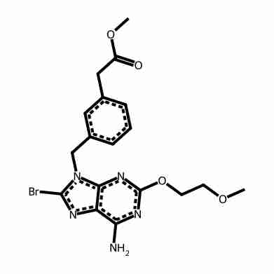 COCCOc1nc(N)c2nc(Br)n(Cc3cccc(CC(=O)OC)c3)c2n1